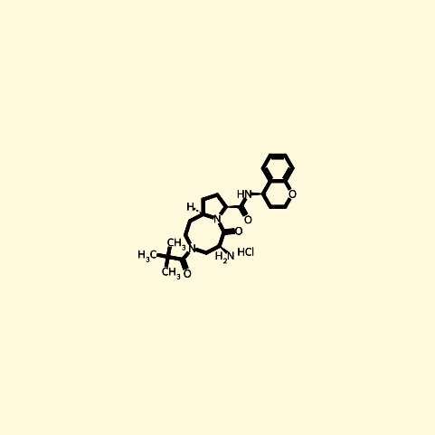 CC(C)(C)C(=O)N1CC[C@H]2CC[C@@H](C(=O)N[C@@H]3CCOc4ccccc43)N2C(=O)[C@@H](N)C1.Cl